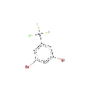 FC(F)(F)c1cc(Br)[c]c(Br)c1